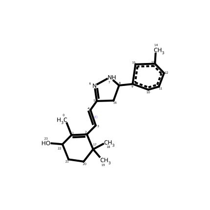 CC1=C(/C=C/C2=NNC(c3cccc(C)c3)C2)C(C)(C)CCC1O